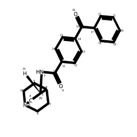 O=C(N[C@H]1CN2CCC1CC2)c1ccc(C(=O)c2ccccc2)cc1